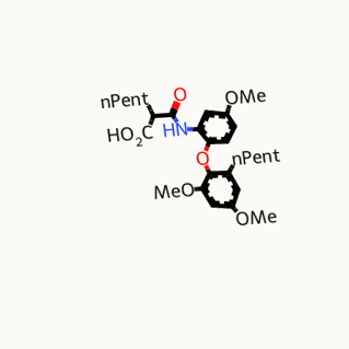 CCCCCc1cc(OC)cc(OC)c1Oc1ccc(OC)cc1NC(=O)C(CCCCC)C(=O)O